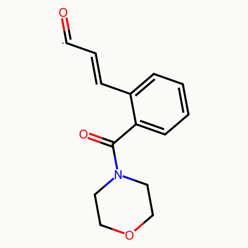 O=[C]/C=C/c1ccccc1C(=O)N1CCOCC1